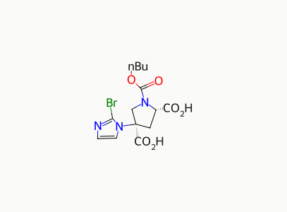 CCCCOC(=O)N1C[C@](C(=O)O)(n2ccnc2Br)C[C@H]1C(=O)O